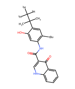 [2H]C([2H])([2H])C(C)(C)c1cc(C(C)(C)C)c(NC(=O)c2c[nH]c3ccccc3c2=O)cc1O